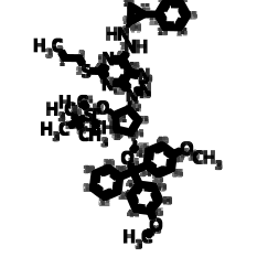 CCCSc1nc(NN[C@@H]2CC2c2ccccc2)c2nnn([C@@H]3C[C@H](COC(c4ccccc4)(c4ccc(OC)cc4)c4ccc(OC)cc4)C[C@H]3O[Si](C)(C)C(C)(C)C)c2n1